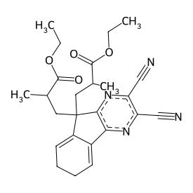 CCOC(=O)C(C)CC1(CC(C)C(=O)OCC)C2=CCCC=C2c2nc(C#N)c(C#N)nc21